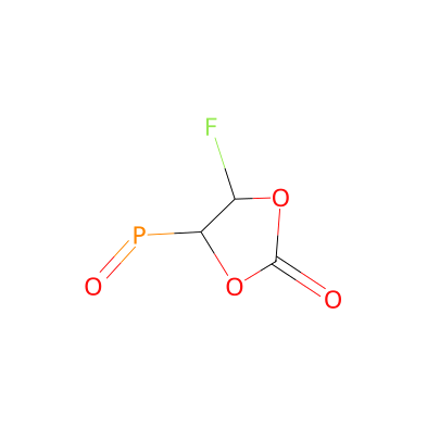 O=PC1OC(=O)OC1F